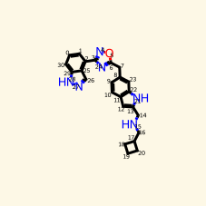 c1cc(-c2noc(Cc3ccc4cc(CNCC5CCC5)[nH]c4c3)n2)c2cn[nH]c2c1